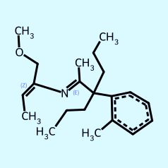 C/C=C(COC)\N=C(/C)C(CCC)(CCC)c1ccccc1C